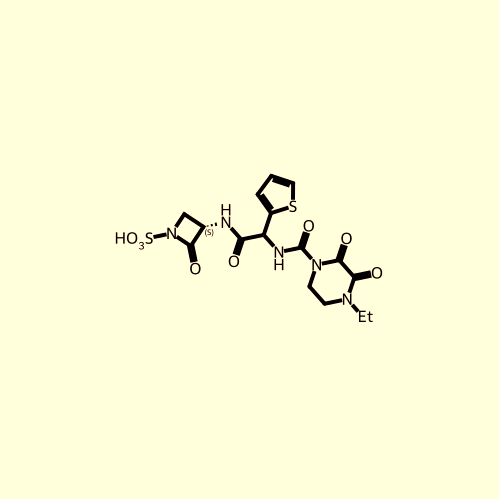 CCN1CCN(C(=O)NC(C(=O)N[C@H]2CN(S(=O)(=O)O)C2=O)c2cccs2)C(=O)C1=O